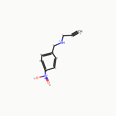 C#CCNCc1ccc([N+](=O)[O-])cc1